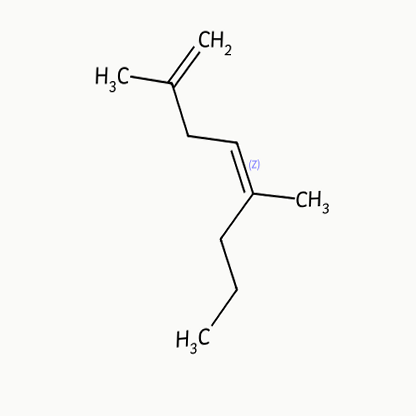 C=C(C)C/C=C(/C)CCC